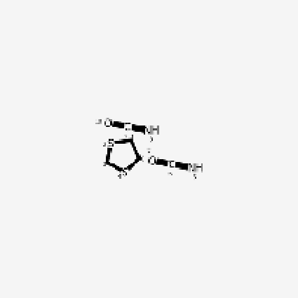 C1CSCS1.N=C=O.N=C=O